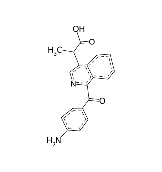 CC(C(=O)O)c1cnc(C(=O)c2ccc(N)cc2)c2ccccc12